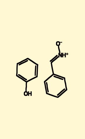 Oc1ccccc1.[O-][NH+]=Cc1ccccc1